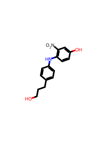 O=[N+]([O-])c1cc(O)ccc1Nc1ccc(CCCO)cc1